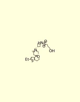 CCc1cc2c(s1)CCO[C@@]21CCN(C[C@H]2C[C@@H](NS(=O)(=O)CCCO)C2)[C@@H](C)C1